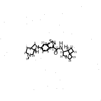 CN1CCC2CN(c3ccc4c(C(=O)N[C@@H]5CN6CCC67CC[C@H]57)nsc4c3)[C@H]2C1